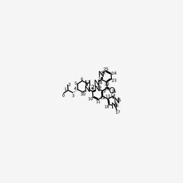 CC(C)C[C@@H]1CCCN(c2ccc(-c3cnn(C)c3)c(C(=O)c3cccnc3N)n2)C1